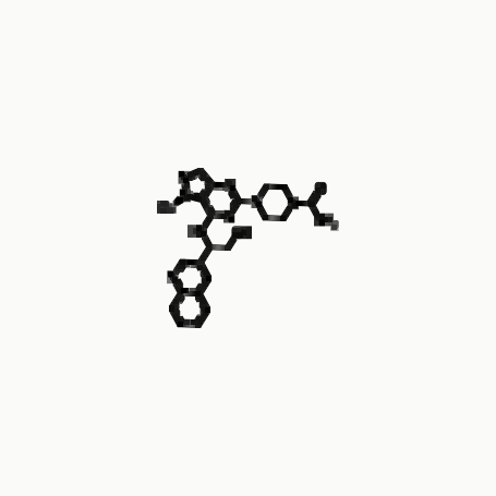 CC[C@H](C)n1ncc2nc(N3CCN(C(N)=O)CC3)nc(NC(CO)c3cnc4ccccc4c3)c21